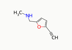 C#Cc1ccc(CNC)o1